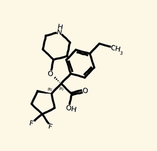 CCc1ccc([C@@](OC2CCNCC2)(C(=O)O)[C@@H]2CCC(F)(F)C2)cc1